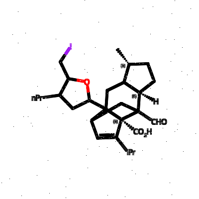 CCCC1CC(C23CC4[C@H](C)CC[C@H]4C4(C=O)CC2C=C(C(C)C)[C@@]34C(=O)O)OC1CI